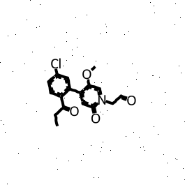 CCC(=O)c1ccc(Cl)cc1-c1cc(=O)n(CC=O)cc1OC